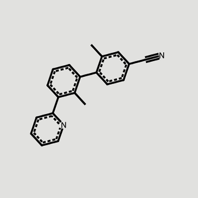 Cc1cc(C#N)ccc1-c1cccc(-c2ccccn2)c1C